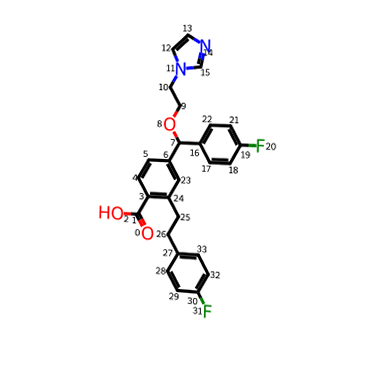 O=C(O)c1ccc(C(OCCn2ccnc2)c2ccc(F)cc2)cc1CCc1ccc(F)cc1